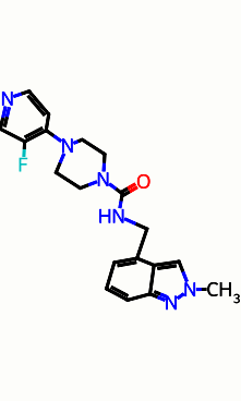 Cn1cc2c(CNC(=O)N3CCN(c4ccncc4F)CC3)cccc2n1